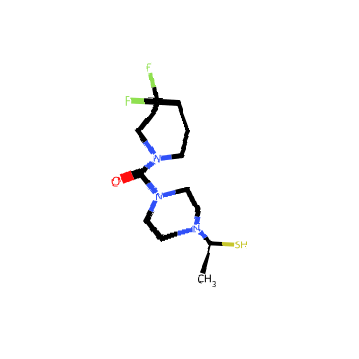 C[C@H](S)N1CCN(C(=O)N2CCCC(F)(F)C2)CC1